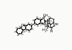 C[C@@H]1[C@H]2CC3C[C@H](C2)C[C@H]1C3c1nc2cc(-c3ccc4c(c3)oc3ccccc34)ccc2n1C